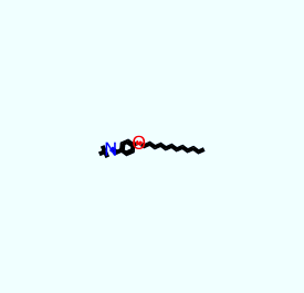 CCCCCCCCCCCCOc1ccc(C=NC(C)(C)C)cc1